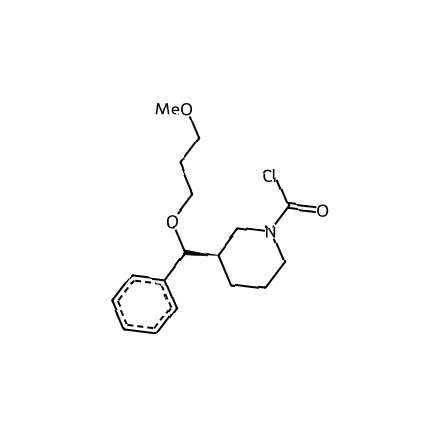 COCCCOC(c1ccccc1)[C@@H]1CCCN(C(=O)Cl)C1